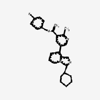 C=C(Nc1ccc(F)cc1)c1cc(-c2cccn3c(C4CCCCC4)ncc23)cnc1C